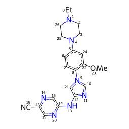 CCN1CCN(c2ccc(-n3cnc(Nc4cnc(C#N)cn4)c3)c(OC)c2)CC1